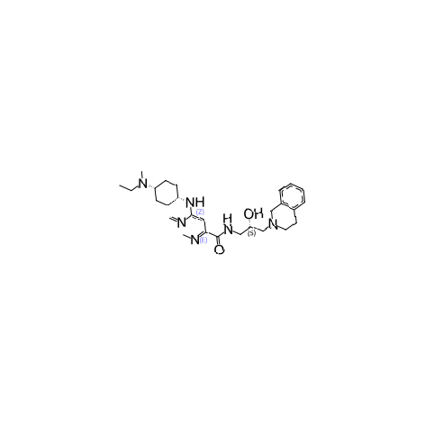 C=N/C(=C\C(=N/C)C(=O)NC[C@H](O)CN1CCc2ccccc2C1)N[C@H]1CC[C@@H](N(C)CC)CC1